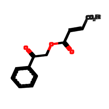 CCOC(=O)/C=C/C(=O)OCC(=O)c1ccccc1